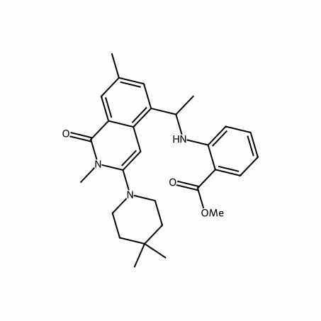 COC(=O)c1ccccc1NC(C)c1cc(C)cc2c(=O)n(C)c(N3CCC(C)(C)CC3)cc12